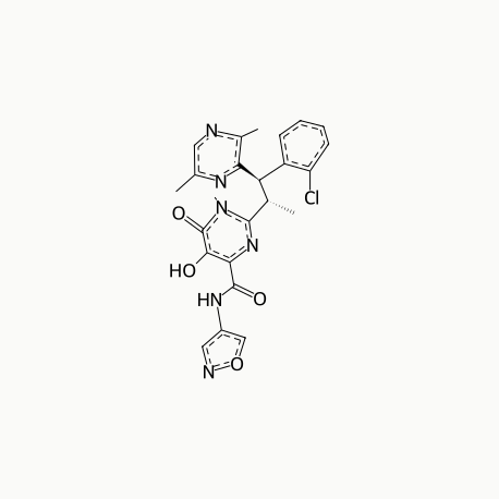 Cc1cnc(C)c([C@@H](c2ccccc2Cl)[C@H](C)c2nc(C(=O)Nc3cnoc3)c(O)c(=O)n2C)n1